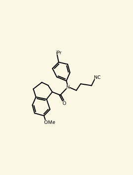 [C-]#[N+]CCCN(C(=O)C1CCCc2ccc(OC)cc21)c1ccc(C(C)C)cc1